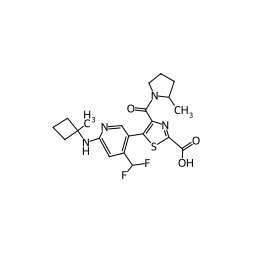 CC1CCCN1C(=O)c1nc(C(=O)O)sc1-c1cnc(NC2(C)CCC2)cc1C(F)F